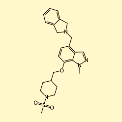 Cn1ncc2c(CN3Cc4ccccc4C3)ccc(OCC3CCN(S(C)(=O)=O)CC3)c21